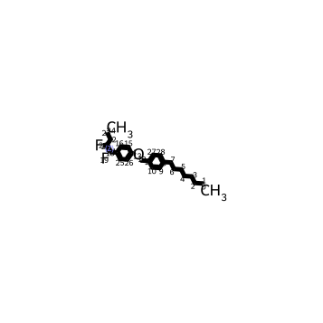 CCCCCCCCc1ccc(COc2ccc(/C(F)=C(/F)CCC)cc2)cc1